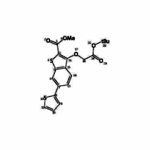 COC(=O)c1sc2cc(-c3cccs3)ccc2c1OCC(=O)OC(C)(C)C